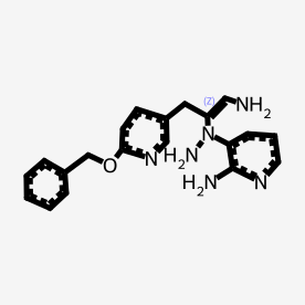 N/C=C(/Cc1ccc(OCc2ccccc2)nc1)N(N)c1cccnc1N